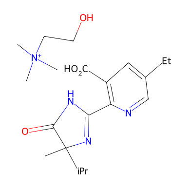 CCc1cnc(C2=NC(C)(C(C)C)C(=O)N2)c(C(=O)O)c1.C[N+](C)(C)CCO